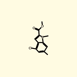 COC(=O)c1cc2c(Cl)cc(C)cc2n1C